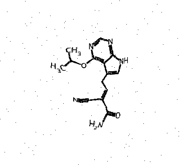 CC(C)Oc1ncnc2[nH]cc(C/C=C(\C#N)C(N)=O)c12